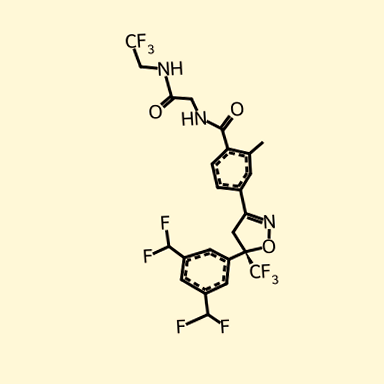 Cc1cc(C2=NO[C@@](c3cc(C(F)F)cc(C(F)F)c3)(C(F)(F)F)C2)ccc1C(=O)NCC(=O)NCC(F)(F)F